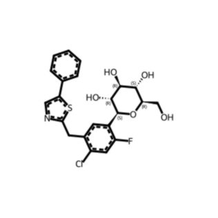 OC[C@H]1O[C@@H](c2cc(Cc3ncc(-c4ccccc4)s3)c(Cl)cc2F)[C@H](O)[C@@H](O)[C@@H]1O